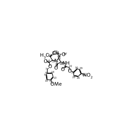 C=C(C)C(C(=O)OCc1ccc(OC)cc1)N1C(=O)C(NC(=O)COc2ccc([N+](=O)[O-])cc2)C1[S+]([O-])Cl